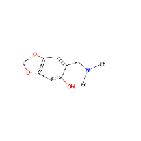 CCN(CC)Cc1cc2c(cc1O)OCO2